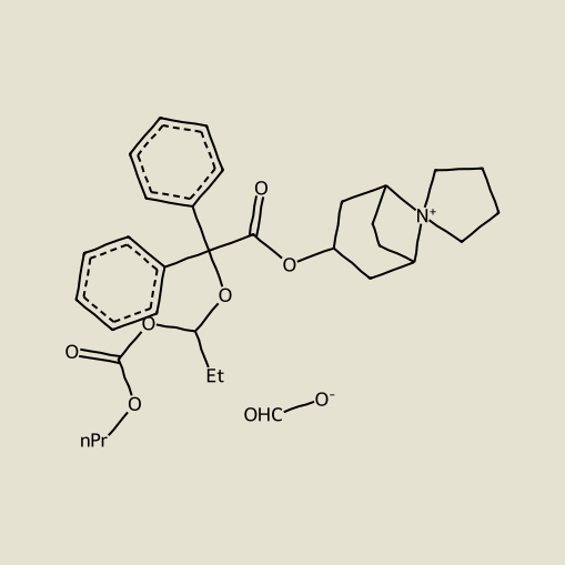 CCCOC(=O)OC(CC)OC(C(=O)OC1CC2CCC(C1)[N+]21CCCC1)(c1ccccc1)c1ccccc1.O=C[O-]